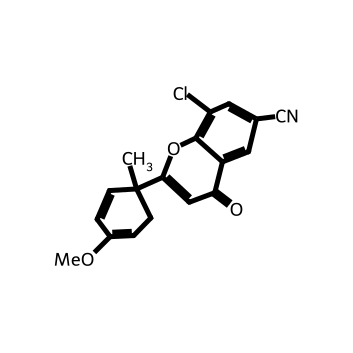 COC1=CCC(C)(c2cc(=O)c3cc(C#N)cc(Cl)c3o2)C=C1